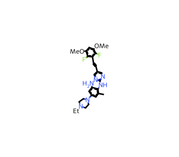 CCN1CCN(c2cc(C)c(Nc3ncc(C#Cc4c(F)c(OC)cc(OC)c4F)cn3)c(N)c2)CC1